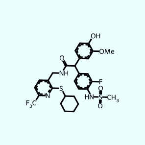 COc1cc(C(C(=O)NCc2ccc(C(F)(F)F)nc2SC2CCCCC2)c2ccc(NS(C)(=O)=O)c(F)c2)ccc1O